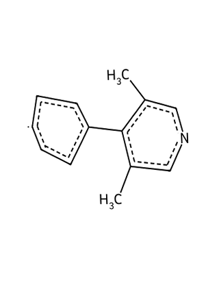 Cc1cncc(C)c1-c1cc[c]cc1